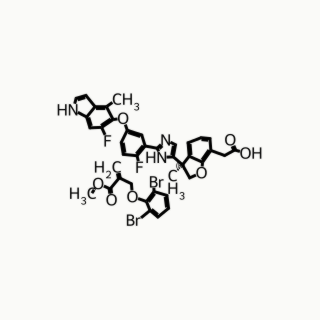 C=C(COc1c(Br)cccc1Br)C(=O)OC.Cc1c(Oc2ccc(F)c(-c3ncc([C@]4(C)COc5c(CC(=O)O)cccc54)[nH]3)c2)c(F)cc2[nH]ccc12